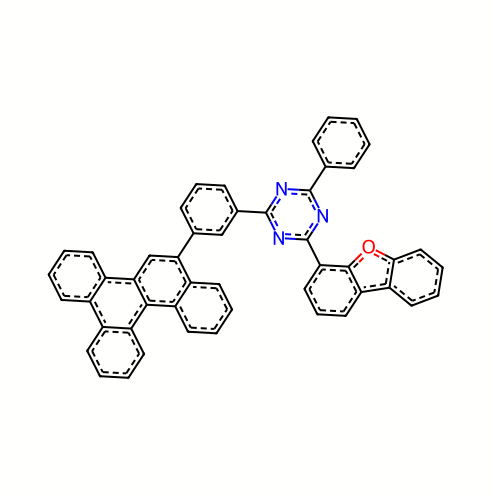 c1ccc(-c2nc(-c3cccc(-c4cc5c6ccccc6c6ccccc6c5c5ccccc45)c3)nc(-c3cccc4c3oc3ccccc34)n2)cc1